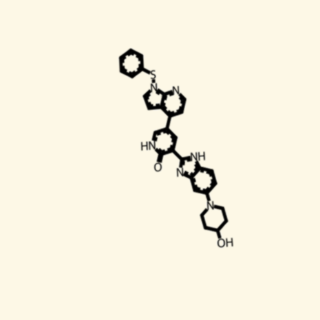 O=c1[nH]cc(-c2ccnc3c2ccn3Sc2ccccc2)cc1-c1nc2cc(N3CCC(O)CC3)ccc2[nH]1